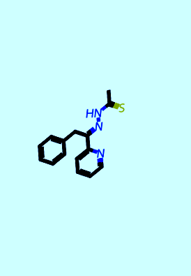 CC(=S)N/N=C(\Cc1ccccc1)c1ccccn1